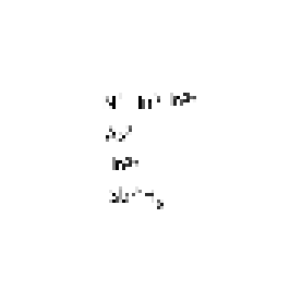 [As-3].[In+3].[In+3].[In+3].[N-3].[SbH6-3]